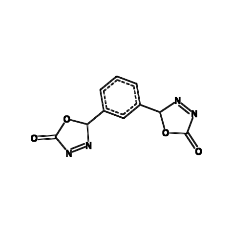 O=C1N=NC(c2cccc(C3N=NC(=O)O3)c2)O1